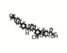 C[C@@H](O)C(=O)N1CC[C@H](Oc2ccc(-c3ncnc(Nc4ccc(N5CCN(C6COC6)CC5)cc4)n3)cc2C#N)C(F)(F)C1